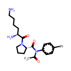 CC(C)c1ccc(N(C(=O)[C@@H]2CCCN2C(=O)[C@@H](N)CCCCN)C(=O)C(F)(F)F)cc1